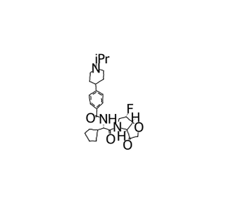 CC(C)N1CCC(c2ccc(C(=O)N[C@H](C(=O)N3C[C@H](F)[C@H]4OCC(=O)[C@H]43)C3CCCC3)cc2)CC1